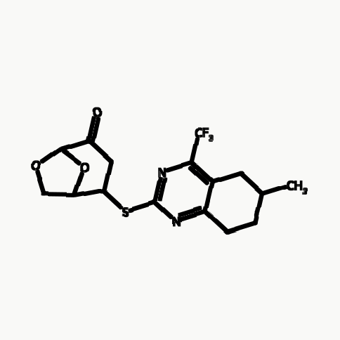 CC1CCc2nc(SC3CC(=O)C4OCC3O4)nc(C(F)(F)F)c2C1